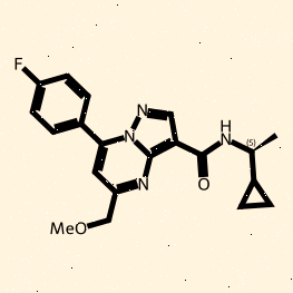 COCc1cc(-c2ccc(F)cc2)n2ncc(C(=O)N[C@@H](C)C3CC3)c2n1